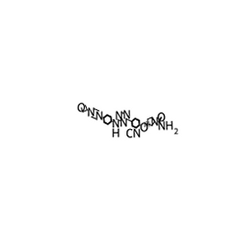 N#Cc1cc(-c2ncnc(Nc3ccc(N4CCN(C5COC5)CC4)cc3)n2)ccc1O[C@@H]1CCN(C(N)=O)C1